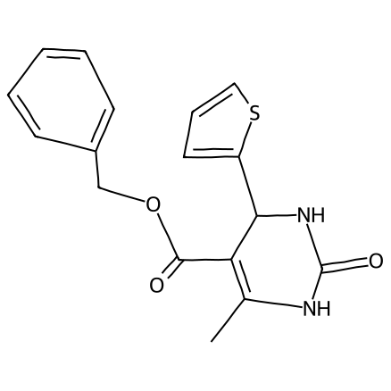 CC1=C(C(=O)OCc2ccccc2)C(c2cccs2)NC(=O)N1